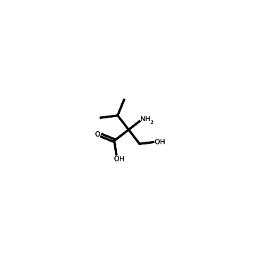 CC(C)C(N)(CO)C(=O)O